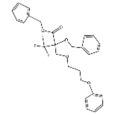 O=C(OCc1ccccc1)C(COCCCOc1ccccc1)(OCc1ccccc1)C(F)(F)F